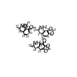 CC(N)Cc1ccc2c(c1)OCO2.COc1cc(CC(C)N)cc2c1OCO2.COc1cccc(CC(C)N)c1OC